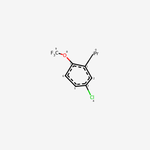 [CH2]C(C)c1cc(Cl)ccc1OC(F)(F)F